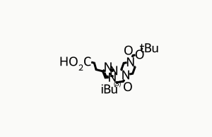 CCC(C)[C@@H](C(=O)N1CCN(C(=O)OC(C)(C)C)CC1)n1cc(CCC(=O)O)nn1